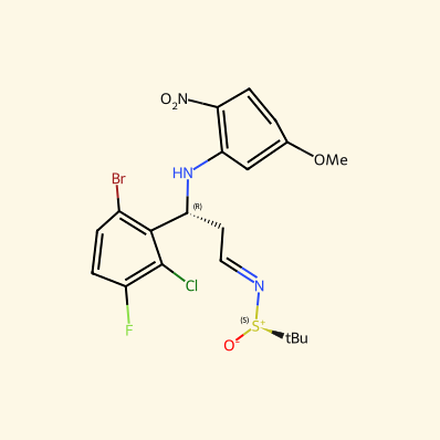 COc1ccc([N+](=O)[O-])c(N[C@H](CC=N[S@+]([O-])C(C)(C)C)c2c(Br)ccc(F)c2Cl)c1